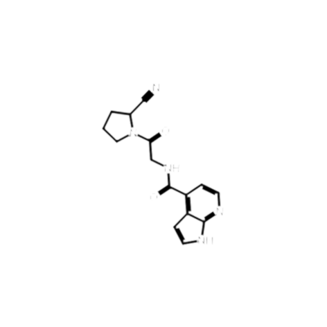 N#CC1CCCN1C(=O)CNC(=O)c1ccnc2[nH]ccc12